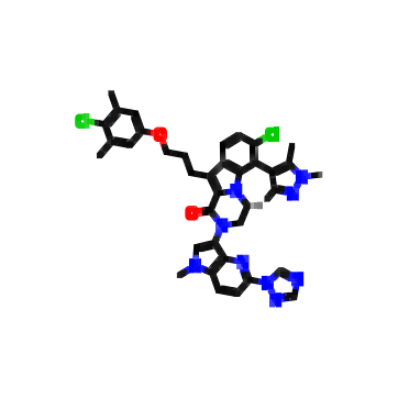 Cc1cc(OCCCc2c3n(c4c(-c5c(C)nn(C)c5C)c(Cl)ccc24)[C@H](C)CN(c2cn(C)c4ccc(-n5cncn5)nc24)C3=O)cc(C)c1Cl